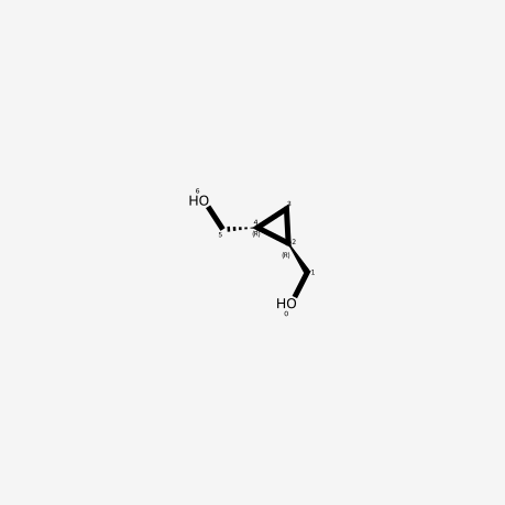 OC[C@@H]1C[C@H]1CO